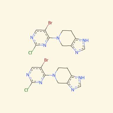 Clc1ncc(Br)c(N2CCc3[nH]cnc3C2)n1.Clc1ncc(Br)c(N2CCc3[nH]cnc3C2)n1